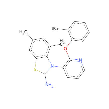 Cc1cc(C)c2c(c1)SC(N)N2c1cccnc1Oc1ccccc1C(C)(C)C